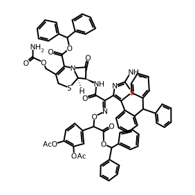 CC(=O)Oc1ccc(C(O/N=C(\C(=O)N[C@@H]2C(=O)N3C(C(=O)OC(c4ccccc4)c4ccccc4)=C(COC(N)=O)CS[C@H]23)c2nc(N)sc2-c2ccccc2C(c2ccccc2)c2ccccc2)C(=O)OC(c2ccccc2)c2ccccc2)cc1OC(C)=O